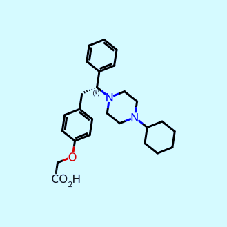 O=C(O)COc1ccc(C[C@H](c2ccccc2)N2CCN(C3CCCCC3)CC2)cc1